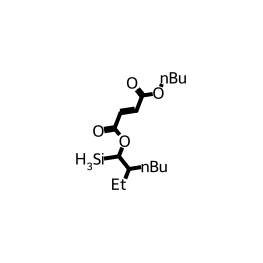 CCCCOC(=O)/C=C/C(=O)OC([SiH3])C(CC)CCCC